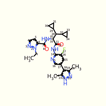 CCn1nccc1C(=O)N[C@H](C(=O)Nc1ncc(-c2c(C)n[nH]c2C)cc1F)C(C1CC1)C1CC1